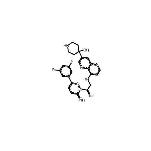 N=C(CNc1ccnc2cc(C3(O)CCNCC3)cnc12)n1nc(-c2cc(F)cc(F)c2)ccc1=N